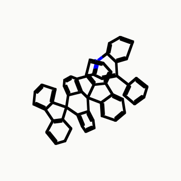 C1=CC2=C(CC1)C1(c3ccccc32)c2ccccc2C2(c3ccccc3-c3ccccc32)c2c(-c3cc(-c4ccccc4)c4ccccc4n3)cccc21